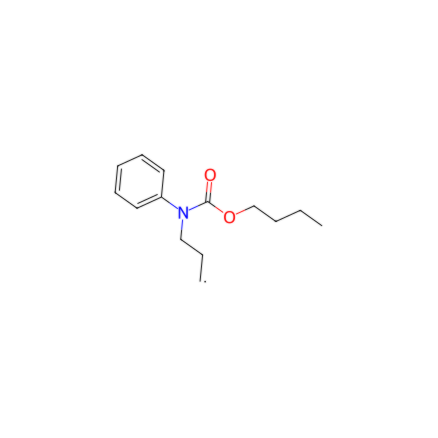 [CH2]CCN(C(=O)OCCCC)c1ccccc1